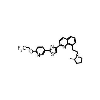 C[C@@H]1CCCN1CCc1cccc2ccc(-c3csc(-c4ccc(OCC(F)(F)F)nc4)n3)nc12